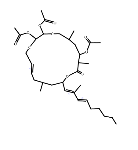 CCCCC/C=C/C(C)=C/C1CC(C)C/C=C/CCC(OC(C)=O)C(OC(C)=O)CCC(C)CC(OC(C)=O)C(C)C(=O)O1